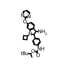 CC(OC(=O)Nc1ccc(C2C(N)c3ccc(Oc4ncccn4)cc3N2C2CCC2)cc1)C(C)(C)C